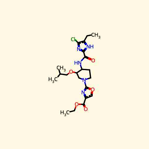 CCOC(=O)c1coc(N2CCC(NC(=O)c3nc(Cl)c(CC)[nH]3)C(OCC(C)C)C2)n1